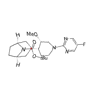 CO[C@@H]1CN(c2ncc(F)cn2)CC[C@@H]1C1C[C@H]2CC[C@@H](C1)N2C(=O)OC(C)(C)C